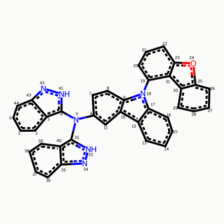 c1ccc2c(N(c3ccc4c(c3)c3ccccc3n4-c3cccc4oc5ccccc5c34)c3[nH]nc4ccccc34)[nH]nc2c1